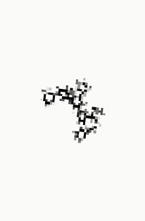 C=C1/C=C\C=C2\c3ccccc3N2c2ccc(-c3cc4c5ccccc5n5c6ccc(-c7ccccc7)cc6c(c3)c45)cc21